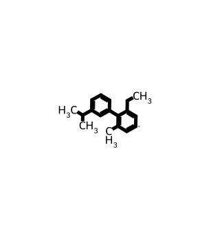 CCc1c[c]cc(C)c1-c1cccc(C(C)C)c1